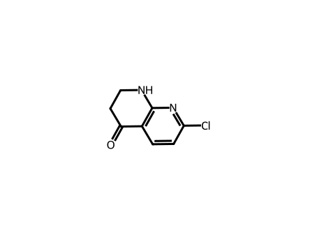 O=C1CCNc2nc(Cl)ccc21